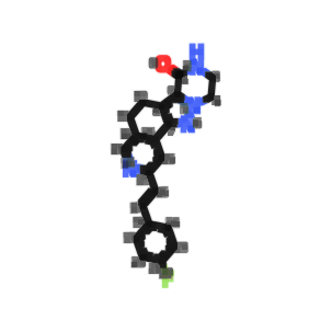 O=C1NCCn2nc3c(c21)CCc1cnc(C=Cc2ccc(F)cc2)cc1-3